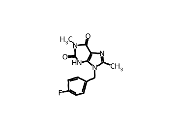 Cc1nc2c(=O)n(C)c(=O)[nH]c2n1Cc1ccc(F)cc1